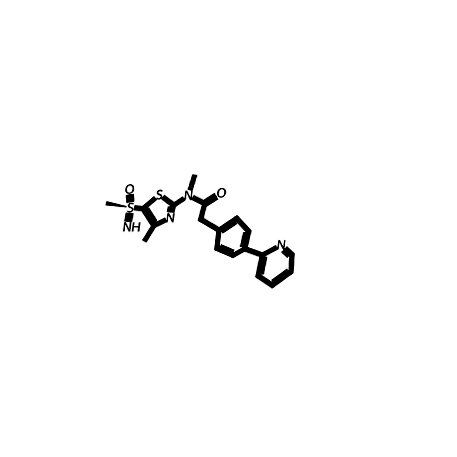 Cc1nc(N(C)C(=O)Cc2ccc(-c3ccccn3)cc2)sc1[S@](C)(=N)=O